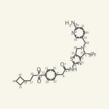 CC(C)[C@H]1c2nc(NC(=O)Cc3ccc(S(=O)(=O)CCC4CCC4)cc3)sc2CN1Cc1ccc(N)nc1